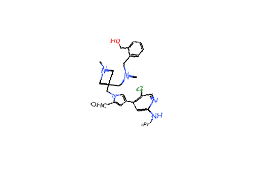 CC(C)Nc1cc(-c2cc(C=O)n(CC3(CN(C)Cc4ccccc4CO)CN(C)C3)c2)c(Cl)cn1